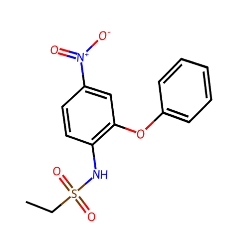 CCS(=O)(=O)Nc1ccc([N+](=O)[O-])cc1Oc1ccccc1